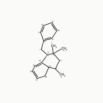 CC1CC(C)(C)N(Cc2ccccc2)C2=CC=CCC21